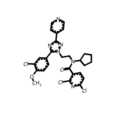 COc1ccc(-c2nc(-c3ccncc3)nn2CCN(C(=O)c2ccc(Cl)nc2Cl)C2CCCC2)cc1Cl